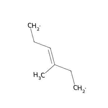 [CH2]C/C=C(\C)C[CH2]